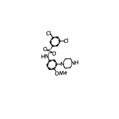 COc1ccc(NS(=O)(=O)c2cc(Cl)cc(Cl)c2)cc1N1CCNCC1